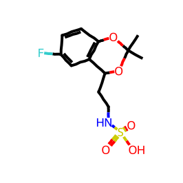 CC1(C)Oc2ccc(F)cc2C(CCNS(=O)(=O)O)O1